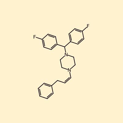 Fc1ccc(C(c2ccc(F)cc2)N2CCN(/C=C\Cc3ccccc3)CC2)cc1